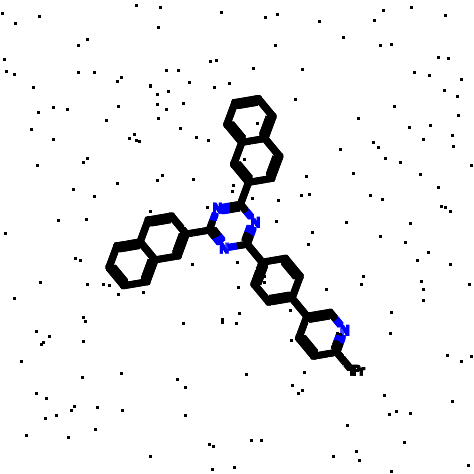 CC(C)c1ccc(-c2ccc(-c3nc(-c4ccc5ccccc5c4)nc(-c4ccc5ccccc5c4)n3)cc2)cn1